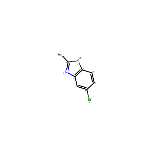 CC(=O)c1nc2cc(Br)ccc2s1